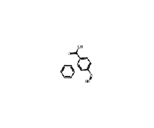 N=Nc1ccc(C(=O)O)cc1.c1ccccc1